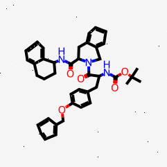 CC(C)(C)OC(=O)NC(Cc1ccc(OCc2ccccc2)cc1)C(=O)N1Cc2ccccc2CC1C(=O)NC1CCCc2ccccc21